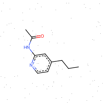 CCCc1ccnc(NC(C)=O)c1